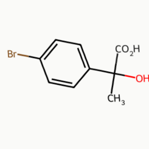 CC(O)(C(=O)O)c1ccc(Br)cc1